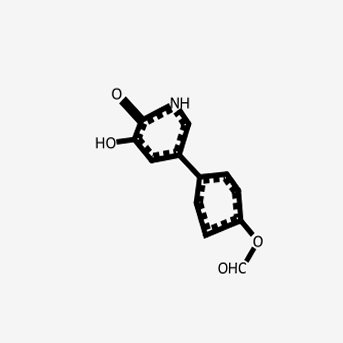 O=COc1ccc(-c2c[nH]c(=O)c(O)c2)cc1